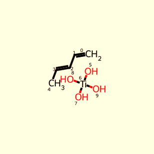 C=C/C=C/C.[OH][Ti]([OH])([OH])[OH]